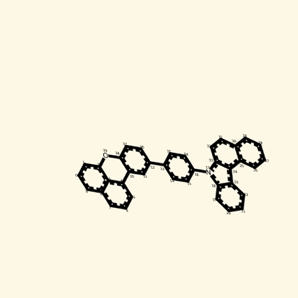 c1cc2c3c(cccc3c1)-c1cc(-c3ccc(-n4c5ccccc5c5c6ccccc6ccc54)cc3)ccc1O2